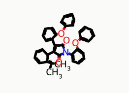 CC(C)=C1C=CC=CC1C1=C(c2ccccc2Oc2ccccc2)C(=O)N(c2ccccc2Oc2ccccc2)C1=O